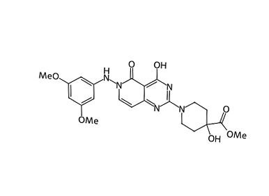 COC(=O)C1(O)CCN(c2nc(O)c3c(=O)n(Nc4cc(OC)cc(OC)c4)ccc3n2)CC1